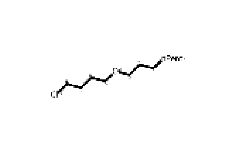 CCCC[CH]CCCOCCCCCl